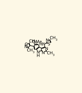 COc1cc2c(cc1-c1c(C)noc1C)[nH]c1nc(C)nc(Nc3nc(C)cs3)c12